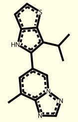 Cc1cc(-c2[nH]c3ccsc3c2C(C)C)cn2ncnc12